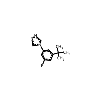 CC(C)(C)c1cc(F)cc(-n2cnnc2)c1